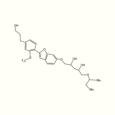 CC(C)(C)CC(OCC(O)CC(O)COc1ccc2cc(-c3ccc(CCCO)cc3OC(F)(F)F)oc2c1)C(C)(C)C